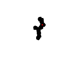 c1ccc(-c2nc(-c3ccc(-c4ccc5ccccc5c4)cc3)nc(-c3ccc4c(c3)oc3c(-c5ccc6c(ccc7ccccc76)c5)cccc34)n2)cc1